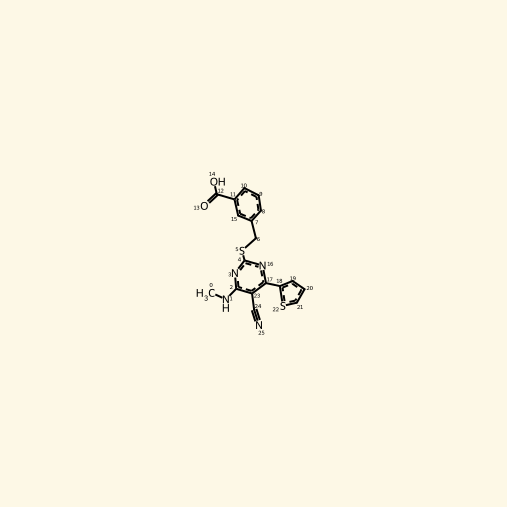 CNc1nc(SCc2cccc(C(=O)O)c2)nc(-c2cccs2)c1C#N